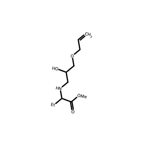 C=CCOCC(O)CNC(CC)C(=O)OC